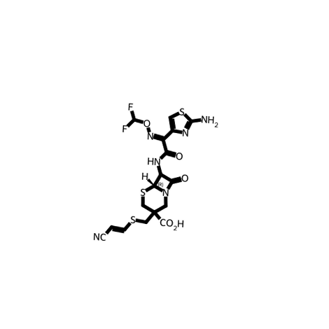 N#CC=CSCC1(C(=O)O)CS[C@@H]2C(NC(=O)C(=NOC(F)F)c3csc(N)n3)C(=O)N2C1